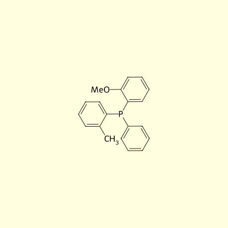 COc1ccccc1P(c1ccccc1)c1ccccc1C